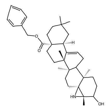 CC1(C)CC[C@]2(C(=O)OCc3ccccc3)CC[C@]3(C)C(=CCC4[C@@]5(C)CCC(O)[C@]6(C)N[C@]65CC[C@]43C)[C@@H]2C1